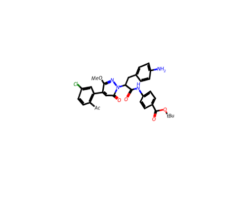 COc1nn(C(Cc2ccc(N)cc2)C(=O)Nc2ccc(C(=O)OC(C)(C)C)cc2)c(=O)cc1-c1cc(Cl)ccc1C(C)=O